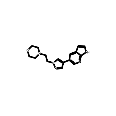 c1cc2cc(-c3cnn(CCN4CCOCC4)c3)cnc2[nH]1